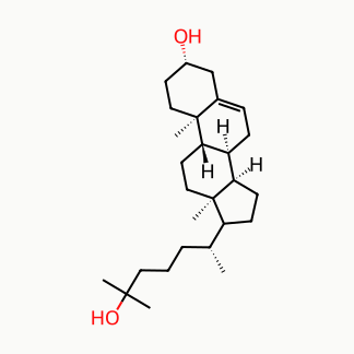 C[C@H](CCCC(C)(C)O)C1CC[C@@H]2[C@@H]3CC=C4C[C@@H](O)CC[C@]4(C)[C@H]3CC[C@]12C